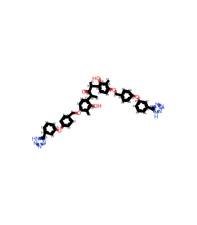 Cc1c(OCc2ccc(Oc3cccc(-c4nnn[nH]4)c3)cc2)ccc(C(C)C(=O)C(C)c2ccc(OCc3ccc(Oc4cccc(-c5nnn[nH]5)c4)cc3)c(C)c2O)c1O